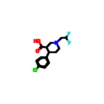 O=C(O)C1CN(CC(F)F)CCC1c1ccc(Cl)cc1